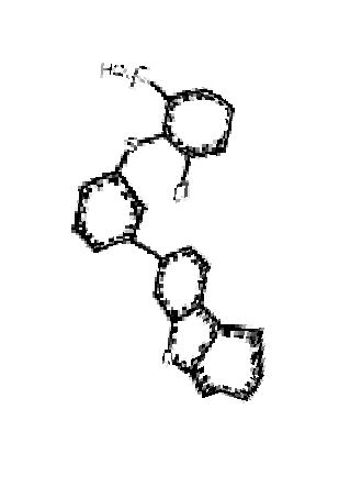 O=C(O)c1cccc(Cl)c1Sc1cccc(-c2ccc3c(c2)oc2ccccc23)c1